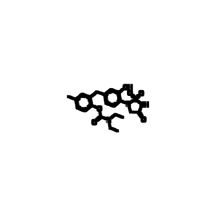 CCN(CC)C(=O)Oc1ccc(C)cc1Cc1ccc(N2CC(=O)NS2(=O)=O)c(O)c1